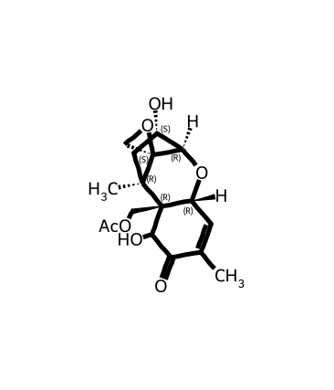 CC(=O)OC[C@]12C(O)C(=O)C(C)=C[C@H]1O[C@@H]1[C@@H](O)C[C@@]2(C)[C@]12CO2